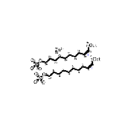 CCCCCCCC/C=C\CCCCCCCCOS(=O)(=O)[O-].CCCCCCCC/C=C\CCCCCCCCOS(=O)(=O)[O-].[Zn+2]